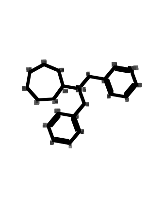 c1ccc(CN(Cc2cccnc2)C2CCCCCC2)cc1